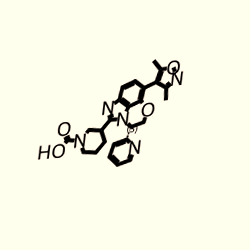 Cc1noc(C)c1-c1ccc2nc(C3CCCN(C(=O)O)C3)n3c2c1OC[C@@H]3c1ccccn1